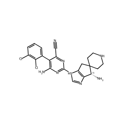 N#Cc1nc([SH]2C=NC3=C2CC2(CCNCC2)[C@@H]3N)nc(N)c1-c1cccc(Cl)c1Cl